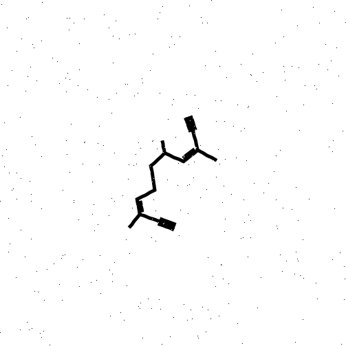 C#CC(C)=CCCC(C)C=C(C)C#C